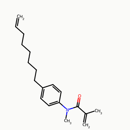 C=CCCCCCCc1ccc(N(C)C(=O)C(=C)C)cc1